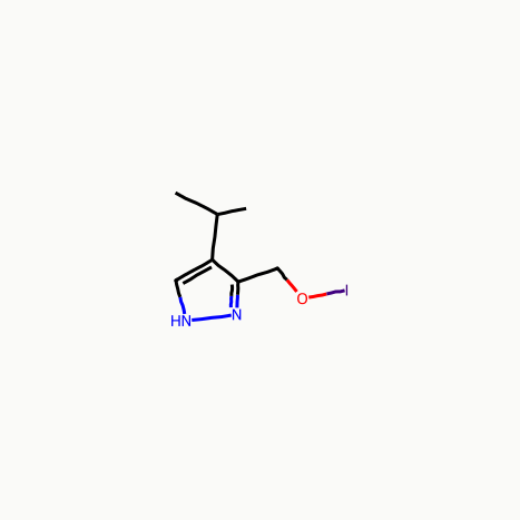 CC(C)c1c[nH]nc1COI